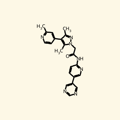 Cc1cc(-c2c(C)nn(CC(=O)Nc3ccc(-c4cncnc4)cn3)c2C)ccn1